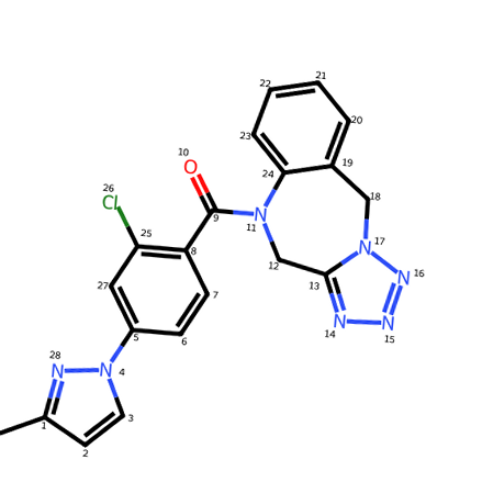 Cc1ccn(-c2ccc(C(=O)N3Cc4nnnn4Cc4ccccc43)c(Cl)c2)n1